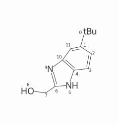 CC(C)(C)c1ccc2[nH]c(CO)nc2c1